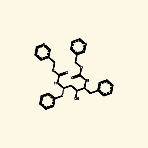 O=C(N[C@@H](Cc1ccccc1)C[C@H](O)[C@H](Cc1ccccc1)NC(=O)OCc1cccnc1)OCc1cccnc1